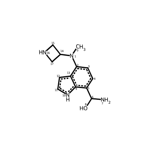 CN(c1ccc(C(N)O)c2[nH]ccc12)C1CNC1